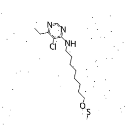 CCc1ncnc(NCCCCCCCCOSC)c1Cl